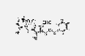 CCOC(=O)c1c(Cc2ccccc2F)c(Br)n(COCc2ccccc2)c1C=O